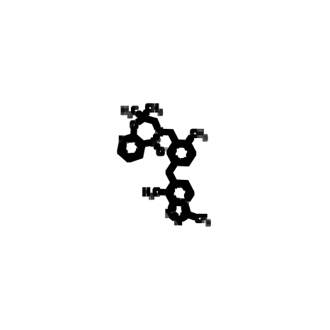 Cc1ccc(Cc2ccn3c(C(F)(F)F)nnc3c2C)cc1CN1CC(C)(C)Oc2ncccc2[S+]1[O-]